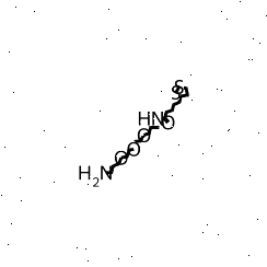 NCCCOCCOCCOCCCNC(=O)CCCCC1CCSS1